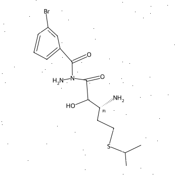 CC(C)SCC[C@@H](N)C(O)C(=O)N(N)C(=O)c1cccc(Br)c1